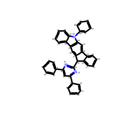 c1ccc(-c2cc(-c3ccccc3)nc(C3c4ccccc4-c4cc5c(cc43)c3ccccc3n5-c3ccccc3)n2)cc1